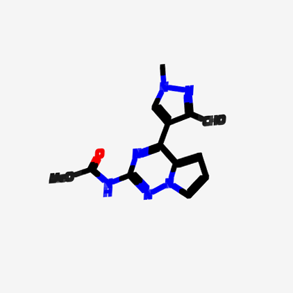 COC(=O)Nc1nc(-c2cn(C)nc2C=O)c2cccn2n1